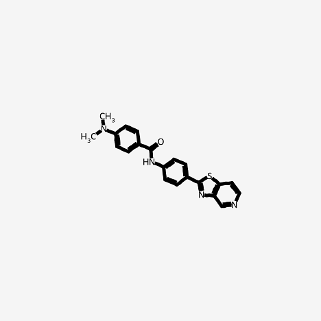 CN(C)c1ccc(C(=O)Nc2ccc(-c3nc4cnccc4s3)cc2)cc1